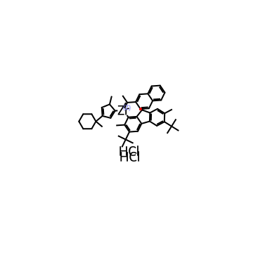 C/[C](c1ccc2ccccc2c1)=[Zr](\[C]1=CC(C2(C)CCCCC2)=CC1C)[c]1c(C)c(C(C)(C)C)cc2c1Cc1cc(C)c(C(C)(C)C)cc1-2.Cl.Cl